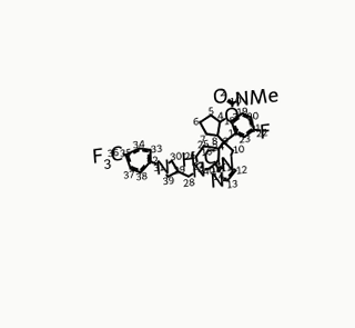 CNC(=O)OC1CCCC1C(Cn1ccnc1C)(c1cccc(F)c1)C1CCN(CC2CN(c3ccc(C(F)(F)F)cc3)C2)CC1